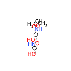 CC(C)(C)OC(=O)NC[C@H]1CC[C@H](CC(O)C(=O)Nc2ccc(CO)cc2)CC1